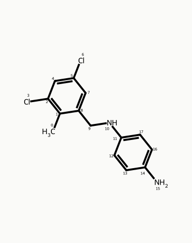 Cc1c(Cl)cc(Cl)cc1CNc1ccc(N)cc1